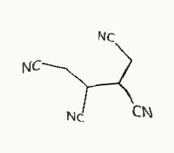 N#CCC(C#N)C(C#N)CC#N